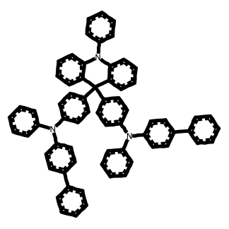 c1ccc(-c2ccc(N(c3ccccc3)c3ccc(C4(c5ccc(N(c6ccccc6)c6ccc(-c7ccccc7)cc6)cc5)c5ccccc5N(c5ccccc5)c5ccccc54)cc3)cc2)cc1